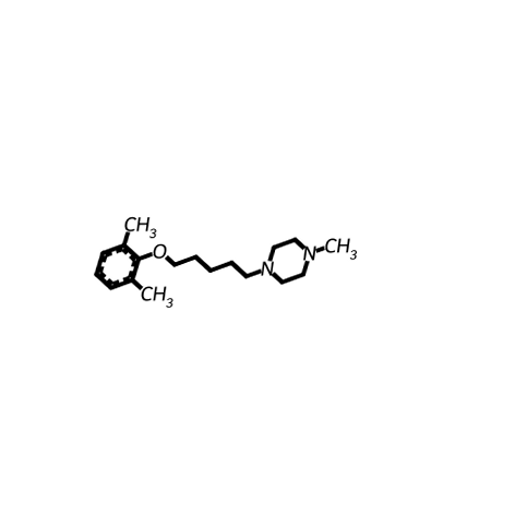 Cc1cccc(C)c1OCCCCCN1CCN(C)CC1